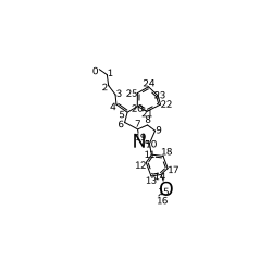 CCCCC=C(CC1CCC(c2ccc(OC)cc2)=N1)c1ccccc1